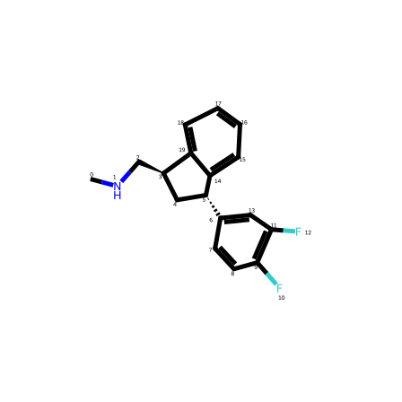 CNC[C@@H]1C[C@@H](c2ccc(F)c(F)c2)c2ccccc21